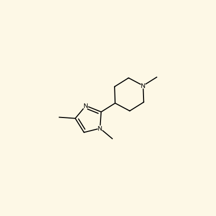 Cc1cn(C)c(C2CCN(C)CC2)n1